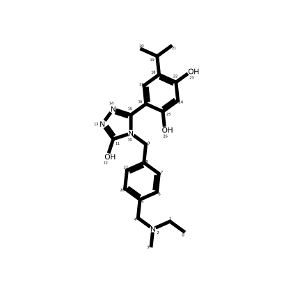 CCN(C)Cc1ccc(Cn2c(O)nnc2-c2cc(C(C)C)c(O)cc2O)cc1